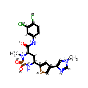 CN1C(C(=O)Nc2ccc(F)c(Cl)c2)CC(c2cc(-c3cn(C)cn3)cs2)NS1(=O)=O